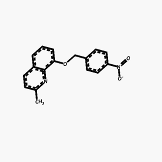 Cc1ccc2cccc(OCc3ccc([N+](=O)[O-])cc3)c2n1